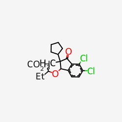 CCC(OC1c2ccc(Cl)c(Cl)c2C(=O)C1(C)C1CCCC1)C(=O)O